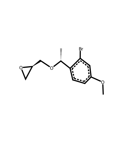 COc1ccc([C@@H](C)OC[C@H]2CO2)c(Br)c1